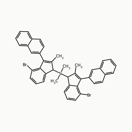 CC1=C(c2ccc3ccccc3c2)c2c(Br)cccc2C1[Si](C)(C)C1C(C)=C(c2ccc3ccccc3c2)c2c(Br)cccc21